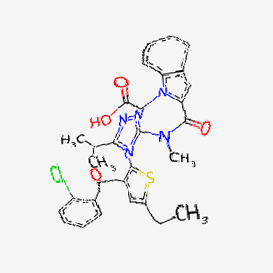 CCc1cc(C(=O)c2ccccc2Cl)c(-n2c(C(C)C)nnc2N(C)C(=O)c2cc3ccccc3n2CC(=O)O)s1